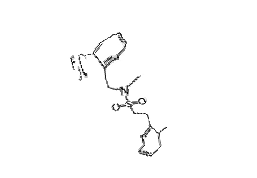 Cc1ccccc1CCS(=O)(=O)N(C)Cc1ccccc1C(F)(F)F